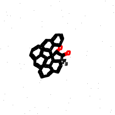 O=C(C(=O)C(c1cccc2ccccc12)(c1cccc2ccccc12)c1cccc2ccccc12)C(F)(F)F